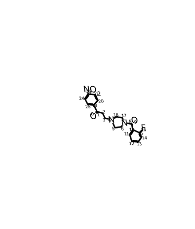 O=C(CCN1CCN(C(=O)c2ccccc2F)CC1)c1ccc([N+](=O)[O-])cc1